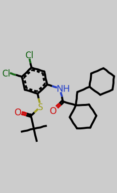 CC(C)(C)C(=O)Sc1cc(Cl)c(Cl)cc1NC(=O)C1(CC2CCCCC2)CCCCC1